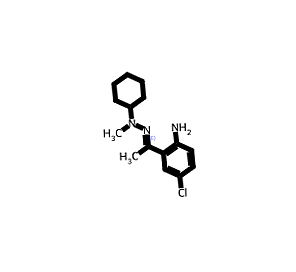 C/C(=N\N(C)C1CCCCC1)c1cc(Cl)ccc1N